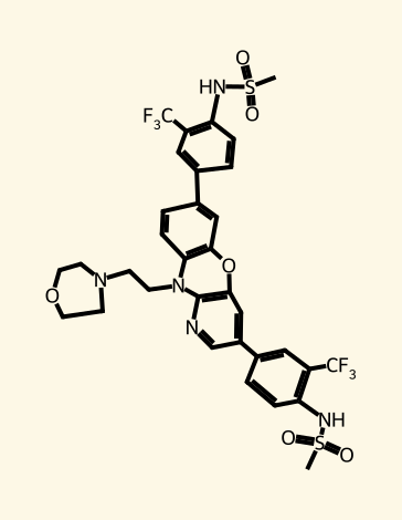 CS(=O)(=O)Nc1ccc(-c2ccc3c(c2)Oc2cc(-c4ccc(NS(C)(=O)=O)c(C(F)(F)F)c4)cnc2N3CCN2CCOCC2)cc1C(F)(F)F